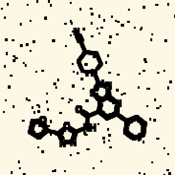 N#CC1CCN(c2nc3nc(-c4ccccc4)cc(C(=O)Nc4nnc(-c5ccco5)o4)c3s2)CC1